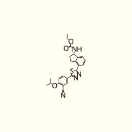 CCOC(=O)N[C@@H]1CCc2c(-c3nnc(-c4ccc(OC(C)C)c(C#N)c4)s3)cccc21